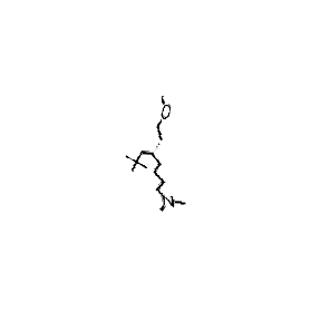 COCC[C@H](CCCCN(C)C)CC(C)(C)C